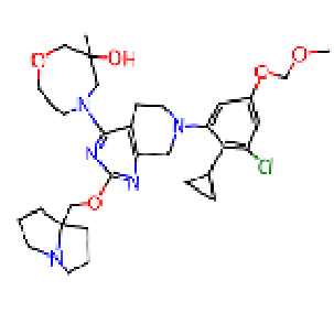 COCOc1cc(Cl)c(C2CC2)c(N2CCc3c(nc(OCC45CCCN4CCC5)nc3N3CCOCC(C)(O)C3)C2)c1